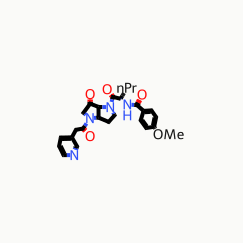 CCCC(NC(=O)c1ccc(OC)cc1)C(=O)N1CCC2C1C(=O)CN2C(=O)Cc1cccnc1